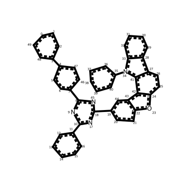 c1ccc(-c2ccc(-c3nc(-c4ccccc4)nc(-c4ccc5oc6ccc7c8ccccc8n(-c8ccccc8)c7c6c5c4)n3)cc2)cc1